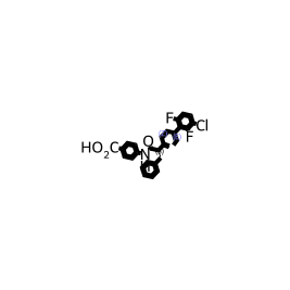 C=C(/C=C\C(=C/C)c1c(F)ccc(Cl)c1F)[C@H](Cc1ccccc1)C(=O)Nc1ccc(C(=O)O)cc1